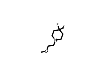 COCCN1CCC(F)(F)CC1